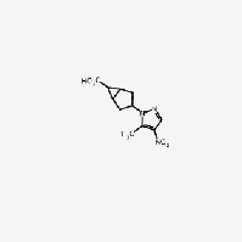 Cc1c([N+](=O)[O-])cnn1C1CC2C(C1)C2C(=O)O